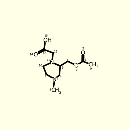 CC(=O)OCC1CN(C)CCN1CC(=O)O